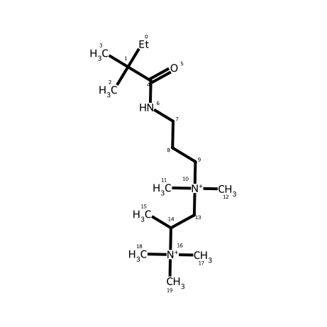 CCC(C)(C)C(=O)NCCC[N+](C)(C)CC(C)[N+](C)(C)C